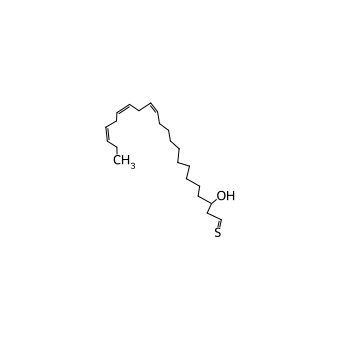 CC/C=C\C/C=C\C/C=C\CCCCCCCCCC(O)CC=S